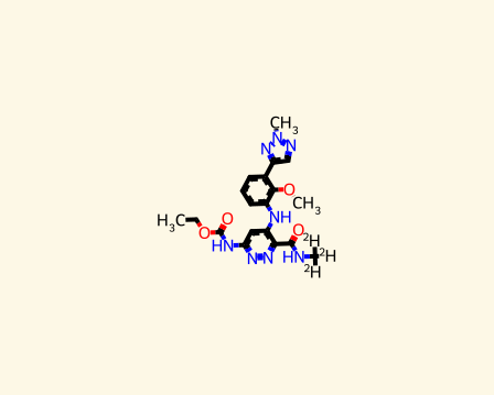 [2H]C([2H])([2H])NC(=O)c1nnc(NC(=O)OCC)cc1Nc1cccc(-c2cnn(C)n2)c1OC